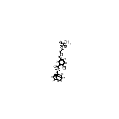 CS(=O)(=O)OCCOCc1ccc(Cl)c(C(=O)NCC23CC4CC(CC(C4)C2)C3)c1